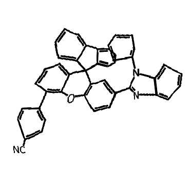 N#Cc1ccc(-c2cccc3c2Oc2ccc(-c4nc5ccccc5n4-c4ccccc4)cc2C32c3ccccc3-c3ccccc32)cc1